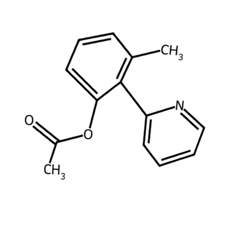 CC(=O)Oc1cccc(C)c1-c1ccccn1